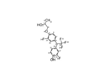 CC(O)COc1ccc(C(c2ccc(O)c(F)c2)C(F)(F)F)cc1F